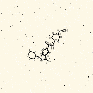 CCc1nn(C2CCOCC2)c2sc(C(=O)NC3CCC(CO)CC3)cc12